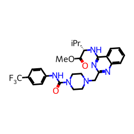 COC(=O)[C@@H](Nc1nc(CN2CCN(C(=O)Nc3ccc(C(F)(F)F)cc3)CC2)nc2ccccc12)C(C)C